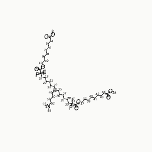 COC(=O)CCCCCCCCOC(=O)C(F)(F)CCCCCCP(CCCCCCC(F)(F)C(=O)OCCCCCCCCC(=O)OC)CCCCN(C)C